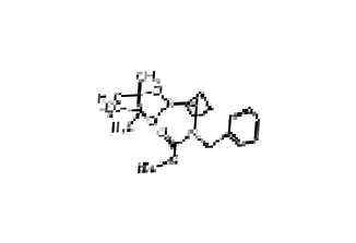 CC(C)(C)OC(=O)N(Cc1ccccc1)C12CC(C1)C2B1OC(C)(C)C(C)(C)O1